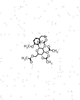 COc1ccc(CBr)cc1[C@@H]1OC(COC(C)=O)[C@@H](OC(C)=O)[C@H](OC(C)=O)[C@@H]1OC(C)=O